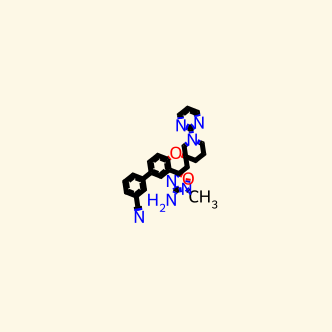 CN1OC2(CC3(CCCN(c4ncccn4)C3)Oc3ccc(-c4cccc(C#N)c4)cc32)N=C1N